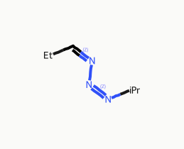 CC/C=N\N=N/C(C)C